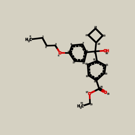 CCCCOc1ccc(C(O)(c2ccc(C(=O)OCC)cc2)C2CCC2)cc1